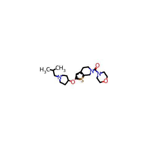 CC(C)CN1CCC(Oc2cc3c(s2)CN(C(=O)N2CCOCC2)CC3)CC1